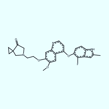 COc1cc2c(Oc3ccc4[nH]c(C)cc4c3F)ccnc2cc1OCCN1CC(=O)C2(CC2)C1